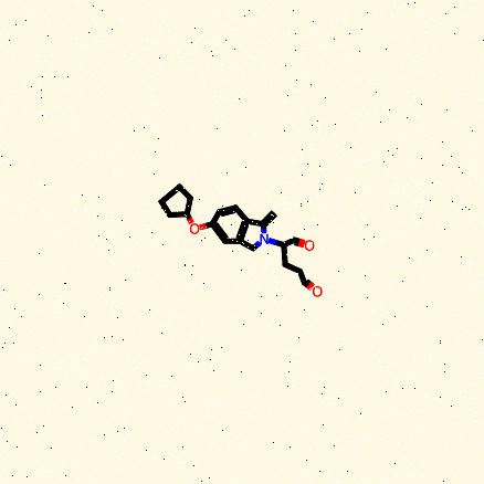 C=C1c2ccc(OC3CCCC3)cc2CN1C(C=O)CCC=O